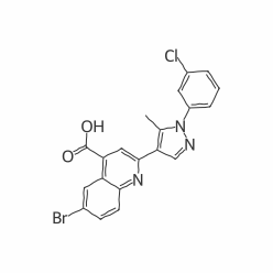 Cc1c(-c2cc(C(=O)O)c3cc(Br)ccc3n2)cnn1-c1cccc(Cl)c1